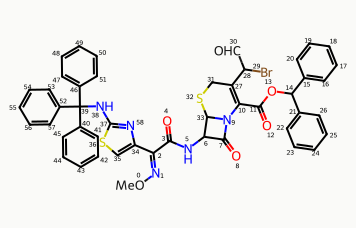 CON=C(C(=O)NC1C(=O)N2C(C(=O)OC(c3ccccc3)c3ccccc3)=C(C(Br)C=O)CSC12)c1csc(NC(c2ccccc2)(c2ccccc2)c2ccccc2)n1